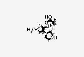 Cc1nn(C)cc1N1CCNCC1.O=C(O)C(F)(F)F